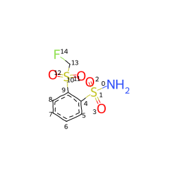 NS(=O)(=O)c1ccccc1S(=O)(=O)CF